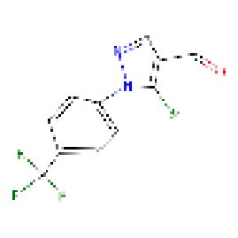 O=Cc1cnn(-c2ccc(C(F)(F)F)cc2)c1Br